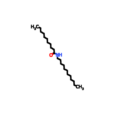 CCCCCCCCCCCCNC(=O)CCCCCCCCCC